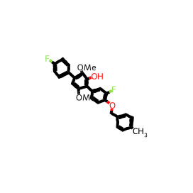 COc1cc(-c2ccc(F)cc2)c(OC)c(O)c1-c1ccc(OCc2ccc(C)cc2)c(F)c1